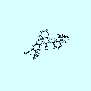 N#Cc1ccc(N2C(=O)N(c3cccc(S(N)(=O)=O)n3)[C@@H]3CCCC[C@H]32)cc1C(F)(F)F